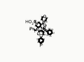 CC(C)CN(C(=O)c1nnn(-c2ccccc2)c1COc1ccc(F)cc1)[C@H]1C[C@@H](C(=O)N2CCOCC2)CN(C(=O)O)C1